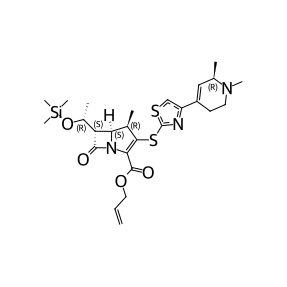 C=CCOC(=O)C1=C(Sc2nc(C3=C[C@@H](C)N(C)CC3)cs2)[C@H](C)[C@@H]2[C@@H]([C@@H](C)O[Si](C)(C)C)C(=O)N12